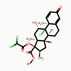 CC(C)OC(=O)[C@@]1(OC(=O)C(Cl)Cl)[C@H](C)C[C@H]2[C@@H]3CCC4=CC(=O)C=C[C@]4(C)[C@@]3(Cl)[C@@H](O)C[C@@]21C